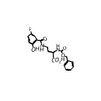 O=C(NC(CCNC(=O)c1cc(F)ccc1O)C(=O)O)OCc1ccccc1